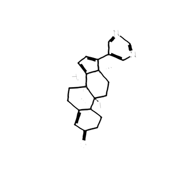 C[C@]12CC[C@H]3[C@@H](CCC4=CC(=O)CC[C@@]43C)C1=CC=C2c1cncnc1